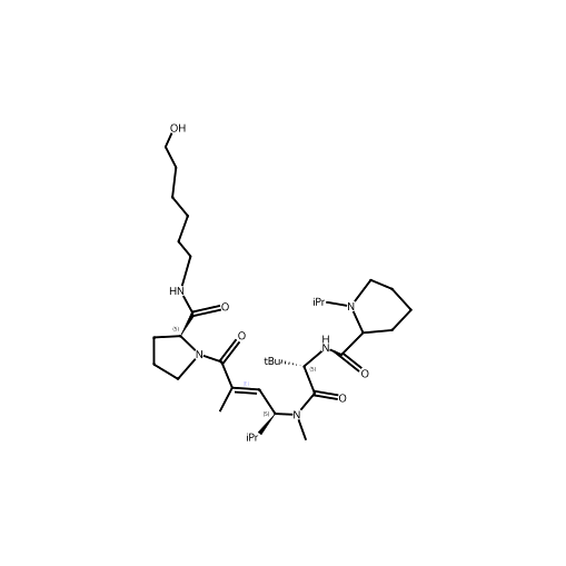 C/C(=C\[C@H](C(C)C)N(C)C(=O)[C@@H](NC(=O)C1CCCCN1C(C)C)C(C)(C)C)C(=O)N1CCC[C@H]1C(=O)NCCCCCCO